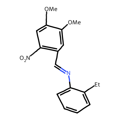 CCc1ccccc1N=Cc1cc(OC)c(OC)cc1[N+](=O)[O-]